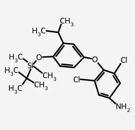 CC(C)c1cc(Oc2c(Cl)cc(N)cc2Cl)ccc1O[Si](C)(C)C(C)(C)C